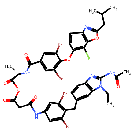 CCn1c(NC(C)=O)nc2ccc(Cc3c(Br)cc(NC(=O)CC(=O)OC(=O)[C@H](C)NC(=O)c4cc(Br)c(Oc5ccc6nc(CC(C)C)oc6c5F)c(Br)c4)cc3Br)cc21